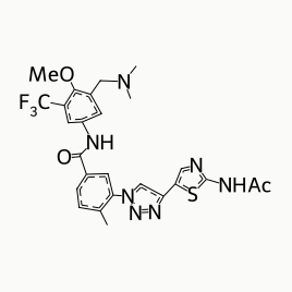 COc1c(CN(C)C)cc(NC(=O)c2ccc(C)c(-n3cc(-c4cnc(NC(C)=O)s4)nn3)c2)cc1C(F)(F)F